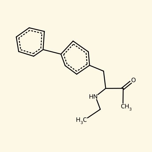 CCNC(Cc1ccc(-c2ccccc2)cc1)C(C)=O